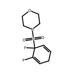 O=S(=O)(N1CCOCC1)C1(F)C=C[CH]C=C1F